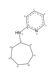 [c]1cccnc1NC1CCCCCC1